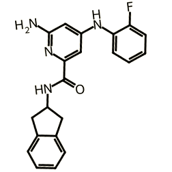 Nc1cc(Nc2ccccc2F)cc(C(=O)NC2Cc3ccccc3C2)n1